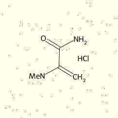 C=C(NC)C(N)=O.Cl